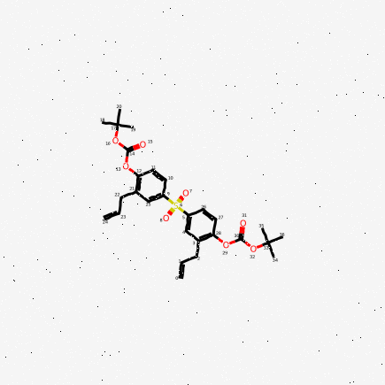 C=CCc1cc(S(=O)(=O)c2ccc(OC(=O)OC(C)(C)C)c(CC=C)c2)ccc1OC(=O)OC(C)(C)C